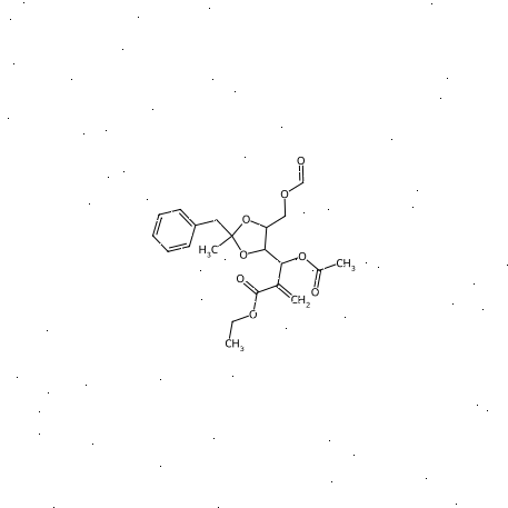 C=C(C(=O)OCC)C(OC(C)=O)C1OC(C)(Cc2ccccc2)OC1COC=O